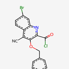 N#Cc1c(OCc2ccccc2)c(C(=O)Cl)nc2cc(Br)ccc12